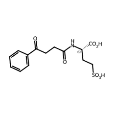 O=C(CCC(=O)c1ccccc1)N[C@@H](CCS(=O)(=O)O)C(=O)O